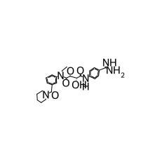 N=C(N)c1ccc(NC(=O)[C@H](O)[C@H]2OCCN(c3cccc(C(=O)N4CCCCC4)c3)C2=O)cc1